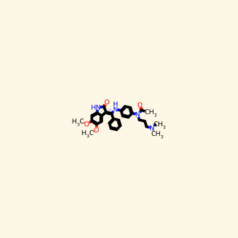 COc1cc2c(cc1OC)/C(=C(/Nc1ccc(N(CCCN(C)C)C(C)=O)cc1)c1ccccc1)C(=O)N2